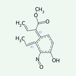 C=C/C(C(=O)OC)=c1/ccc(O)c(N=O)/c1=C/C